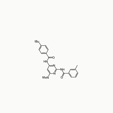 CNc1cc(NC(=O)c2ccc(C(C)(C)C)cc2)nc(NC(=O)c2cccc(C)c2)n1